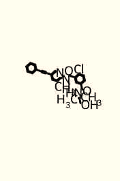 Cc1cc(C#Cc2ccccc2)cnc1NC(=O)c1cc(C(=O)NC(C)(C)CO)ccc1Cl